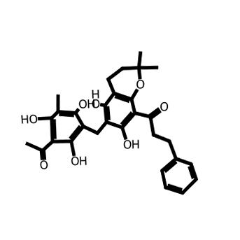 CC(=O)c1c(O)c(C)c(O)c(Cc2c(O)c3c(c(C(=O)CCc4ccccc4)c2O)OC(C)(C)CC3)c1O